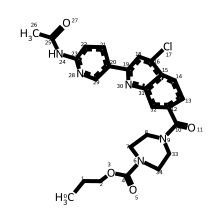 CCCOC(=O)N1CCN(C(=O)c2ccc3c(Cl)cc(-c4ccc(NC(C)=O)nc4)nc3c2)CC1